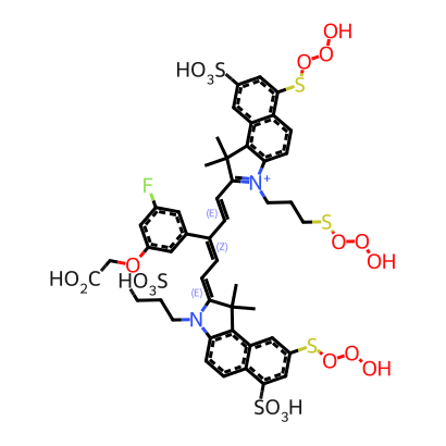 CC1(C)C(/C=C/C(=C/C=C2/N(CCCS(=O)(=O)O)c3ccc4c(S(=O)(=O)O)cc(SOOO)cc4c3C2(C)C)c2cc(F)cc(OCC(=O)O)c2)=[N+](CCCSOOO)c2ccc3c(SOOO)cc(S(=O)(=O)O)cc3c21